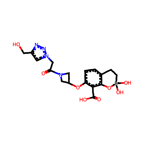 O=C(O)c1c(OC2CN(C(=O)Cn3cc(CO)nn3)C2)ccc2c1O[B-](O)(O)CC2